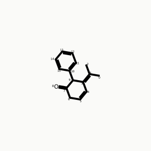 CC(C)=C1C=CCC(=O)C1c1ccccc1